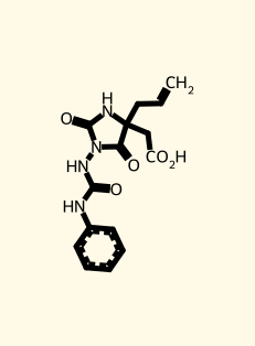 C=CCC1(CC(=O)O)NC(=O)N(NC(=O)Nc2ccccc2)C1=O